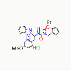 CCOc1ccccc1CNC(=O)NC(Cc1ccc(OC)cc1)c1nc2ccccc2[nH]1.Cl